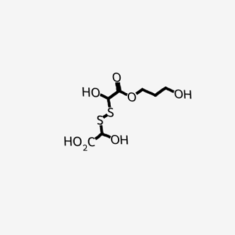 O=C(O)C(O)SSC(O)C(=O)OCCCO